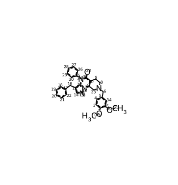 COc1ccc(CN2CCc3c(n4ncc(Cc5ccccc5)c4n(-c4ccccc4)c3=O)C2)cc1OC